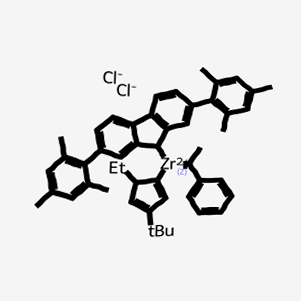 CCC1C=C(C(C)(C)C)C=[C]1/[Zr+2](=[C](/C)c1ccccc1)[CH]1c2cc(-c3c(C)cc(C)cc3C)ccc2-c2ccc(-c3c(C)cc(C)cc3C)cc21.[Cl-].[Cl-]